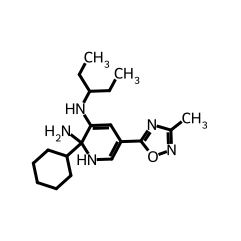 CCC(CC)NC1=CC(c2nc(C)no2)=CNC1(N)C1CCCCC1